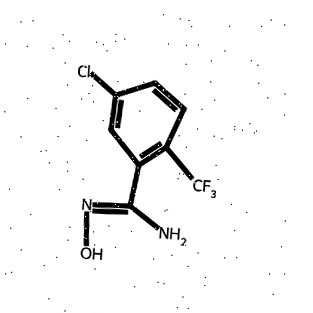 N/C(=N\O)c1cc(Cl)ccc1C(F)(F)F